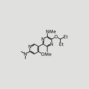 CCC(CC)Oc1nc(C)c(-c2cnc(N(C)C)cc2OC)nc1NC